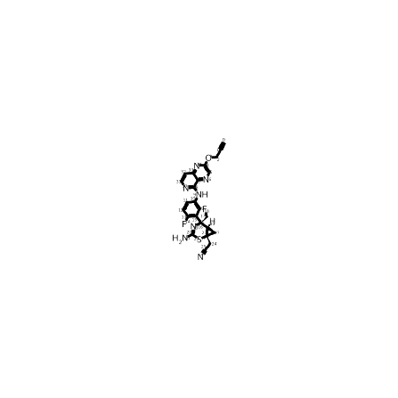 C#CCOc1cnc2c(Nc3ccc(F)c([C@@]4(CF)N=C(N)S[C@@]5(CC#N)C[C@H]54)c3)nccc2n1